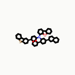 c1ccc(-c2ccc(-c3ccc4ccccc4c3)cc2N(c2ccc(-c3ccc4sc5ccccc5c4c3)cc2)c2cccc3c2oc2ccccc23)cc1